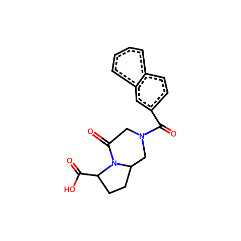 O=C(O)C1CCC2CN(C(=O)c3ccc4ccccc4c3)CC(=O)N21